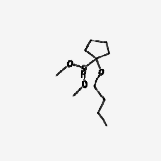 CCCCOC1([SiH](OC)OC)CCCC1